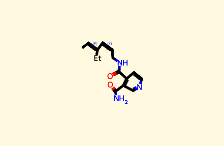 C/C=C(/C=C\CNC(=O)c1ccncc1C(N)=O)CC